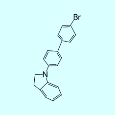 Brc1ccc(-c2ccc(N3CCc4ccccc43)cc2)cc1